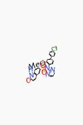 COc1cc(-c2ccc(Cl)cc2)ccc1N(c1ncccn1)S(=O)(=O)c1ccc2[nH]c(=O)ccc2c1